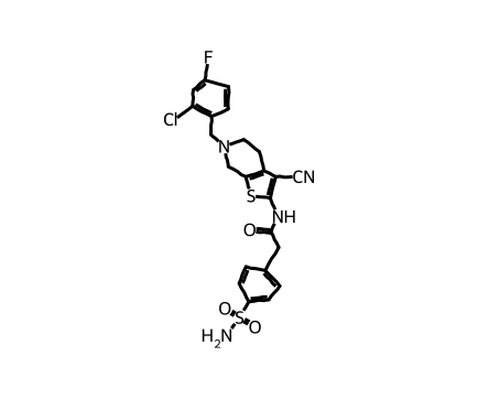 N#Cc1c(NC(=O)Cc2ccc(S(N)(=O)=O)cc2)sc2c1CCN(Cc1ccc(F)cc1Cl)C2